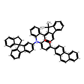 CC1(C)c2ccccc2-c2cccc(-c3ccccc3N(c3ccc(-c4ccc5c(ccc6ccccc65)c4)cc3)c3ccc4c(c3)C3(CCc5ccccc53)c3ccccc3-4)c21